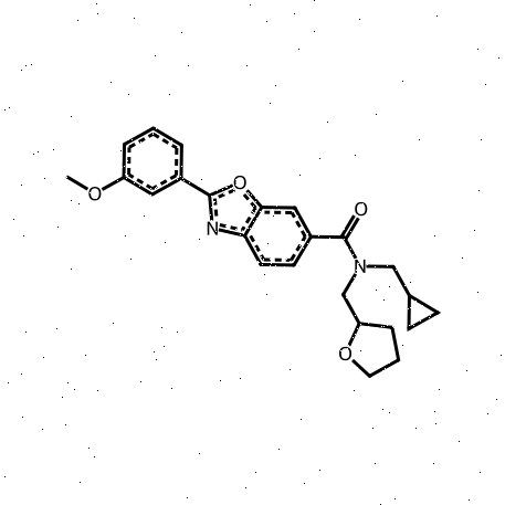 COc1cccc(-c2nc3ccc(C(=O)N(CC4CC4)CC4CCCO4)cc3o2)c1